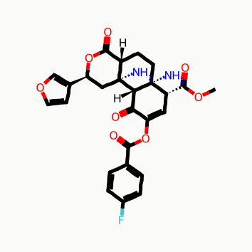 COC(=O)[C@@H]1C=C(OC(=O)c2ccc(F)cc2)C(=O)[C@H]2[C@@]1(N)CC[C@H]1C(=O)O[C@H](c3ccoc3)C[C@]21N